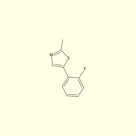 Cc1n[c]c(-c2ccccc2F)s1